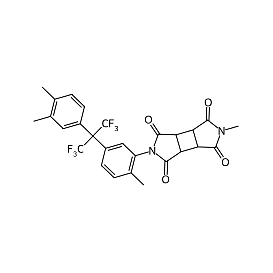 Cc1ccc(C(c2ccc(C)c(N3C(=O)C4C5C(=O)N(C)C(=O)C5C4C3=O)c2)(C(F)(F)F)C(F)(F)F)cc1C